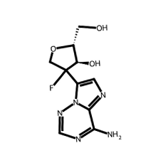 Nc1ncnn2c(C3(F)CO[C@H](CO)[C@H]3O)cnc12